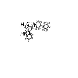 CC1Cc2[nH]c3ccccc3c2CC1CN1CC=C(c2ccccc2)CC1